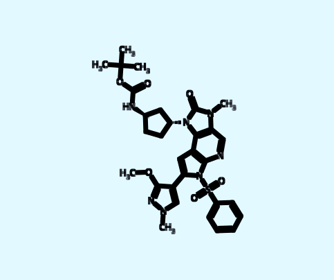 COc1nn(C)cc1-c1cc2c(ncc3c2n([C@@H]2CC[C@@H](NC(=O)OC(C)(C)C)C2)c(=O)n3C)n1S(=O)(=O)c1ccccc1